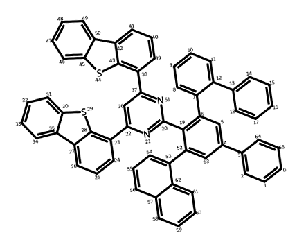 c1ccc(-c2cc(-c3ccccc3-c3ccccc3)c(-c3nc(-c4cccc5c4sc4ccccc45)cc(-c4cccc5c4sc4ccccc45)n3)c(-c3cccc4ccccc34)c2)cc1